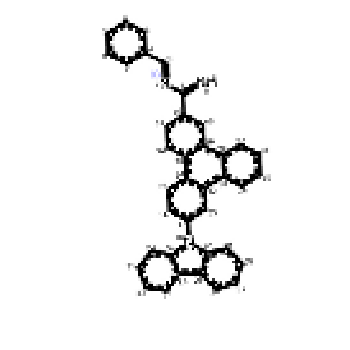 N=C(/N=C/c1ccccc1)c1ccc2c3ccc(-n4c5ccccc5c5ccccc54)cc3c3ccccc3c2c1